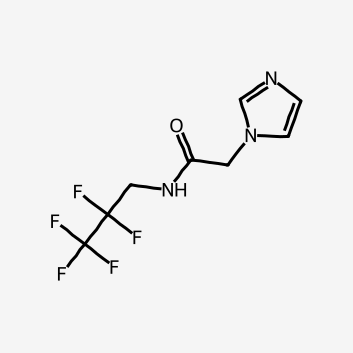 O=C(Cn1ccnc1)NCC(F)(F)C(F)(F)F